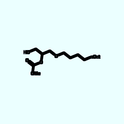 CCCCCCCCCCCCOCC(CO)OC(=O)OC